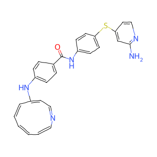 Nc1cc(Sc2ccc(NC(=O)c3ccc(Nc4ccccccncc4)cc3)cc2)ccn1